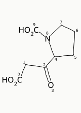 O=C(O)CC(=O)C1CCCN1C(=O)O